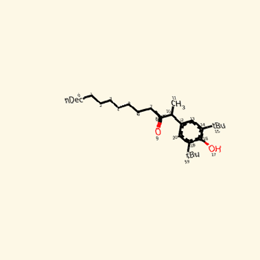 CCCCCCCCCCCCCCCCCC(=O)C(C)c1cc(C(C)(C)C)c(O)c(C(C)(C)C)c1